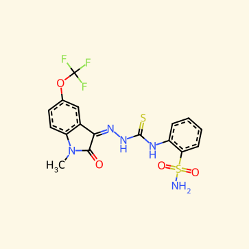 CN1C(=O)C(=NNC(=S)Nc2ccccc2S(N)(=O)=O)c2cc(OC(F)(F)F)ccc21